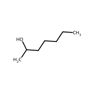 [CH2]C(O)CCCCC